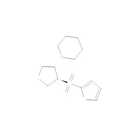 O=S(=O)(c1cccs1)[C@H]1CSC[C@@H]1N1CCCCC1